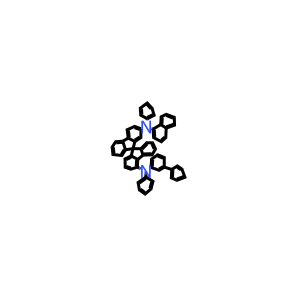 c1ccc(-c2cccc(N(c3ccccc3)c3cccc4c3-c3ccccc3C43c4ccccc4-c4ccc(N(c5ccccc5)c5cccc6ccccc56)cc43)c2)cc1